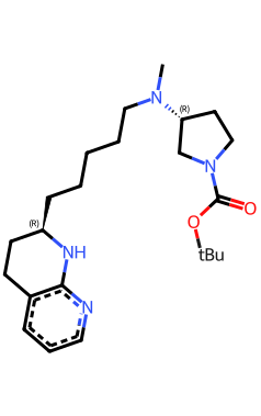 CN(CCCCC[C@@H]1CCc2cccnc2N1)[C@@H]1CCN(C(=O)OC(C)(C)C)C1